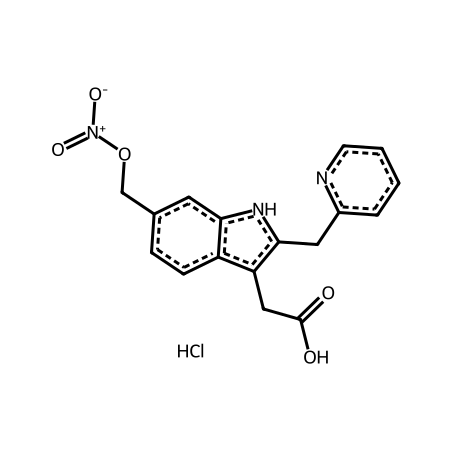 Cl.O=C(O)Cc1c(Cc2ccccn2)[nH]c2cc(CO[N+](=O)[O-])ccc12